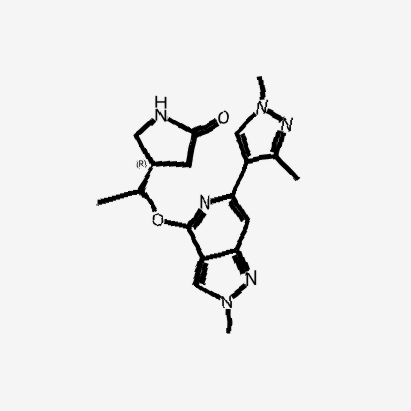 Cc1nn(C)cc1-c1cc2nn(C)cc2c(OC(C)[C@H]2CNC(=O)C2)n1